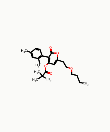 CCCCOCCc1cc(OC(=O)C(C)(C)C)c(-c2ccc(C)cc2C)c(=O)o1